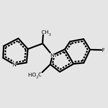 CC(c1cccnc1)n1c(C(=O)O)cc2cc(F)ccc21